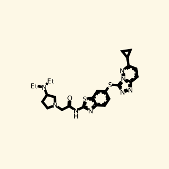 CCN(CC)C1CCN(CC(=O)Nc2nc3ccc(Sc4nnc5ccc(C6CC6)nn45)cc3s2)C1